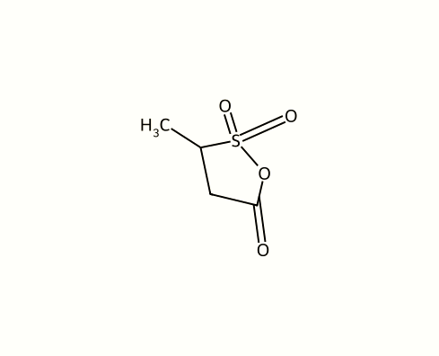 CC1CC(=O)OS1(=O)=O